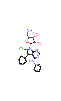 NC[C@@H]1O[C@@H](n2c(Cl)c(-c3ccccc3)c3c(Nc4ccccc4)ncnc32)[C@H](O)[C@@H]1O